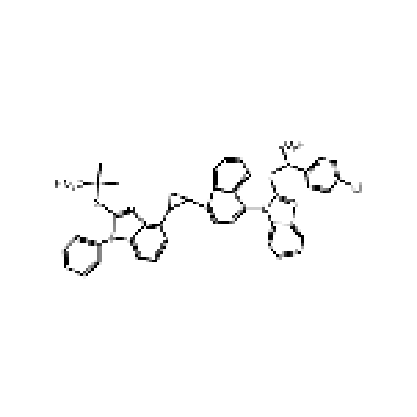 CC(C)(Sc1nc2c(C3CC3c3ccc(-n4c(SC(C(=O)O)c5ccc(Cl)cc5)nc5ccccc54)c4ccccc34)cccc2n1-c1ccccc1)C(=O)O